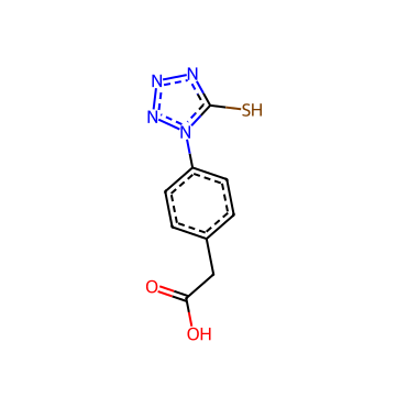 O=C(O)Cc1ccc(-n2nnnc2S)cc1